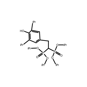 CC(C)OP(=O)(OC(C)C)C(Cc1cc(C(C)C)c(O)c(C(C)C)c1)P(=O)(OC(C)C)OC(C)C